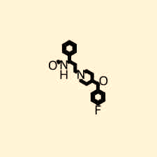 O=CNC(CCN1CCC(C(=O)c2ccc(F)cc2)CC1)c1ccccc1